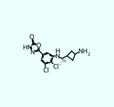 C[C@H](Nc1cc(-c2n[nH]c(=O)o2)cc(Cl)c1Cl)C1CC(N)C1